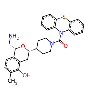 Cc1ccc2c(c1O)C[C@@H](C1CCN(C(=O)N3c4ccccc4Sc4ccccc43)CC1)O[C@H]2CN